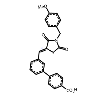 COc1ccc(CN2C(=O)S/C(=C\c3cccc(-c4ccc(C(=O)O)cc4)c3)C2=O)cc1